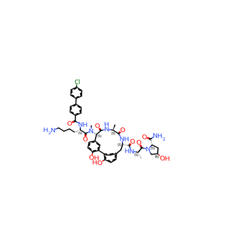 C[C@@H]1NC(=O)[C@@H](N(C)C(=O)[C@H](CCCCN)NC(=O)c2ccc(-c3ccc(Cl)cc3)cc2)c2ccc(O)c(c2)-c2cc(ccc2O)C[C@@H](C(=O)N[C@@H](C)C(=O)N2C[C@H](O)C[C@H]2C(N)=O)NC1=O